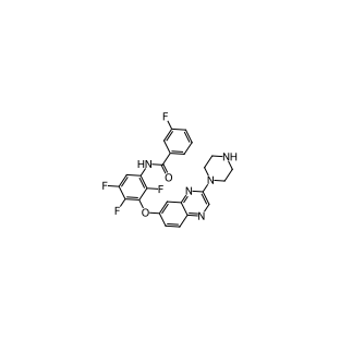 O=C(Nc1cc(F)c(F)c(Oc2ccc3ncc(N4CCNCC4)nc3c2)c1F)c1cccc(F)c1